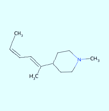 C/C=C\C=C(/C)C1CCN(C)CC1